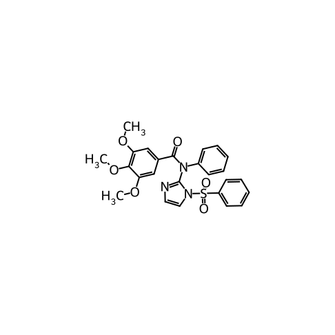 COc1cc(C(=O)N(c2ccccc2)c2nccn2S(=O)(=O)c2ccccc2)cc(OC)c1OC